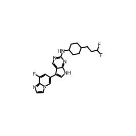 Fc1cc(-c2c[nH]c3nc(NC4CCC(CCC(F)F)CC4)ncc23)cn2ccnc12